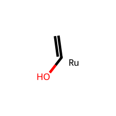 C=CO.[Ru]